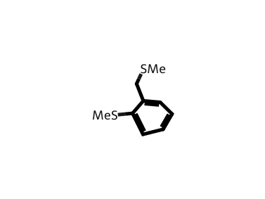 CSCc1ccccc1SC